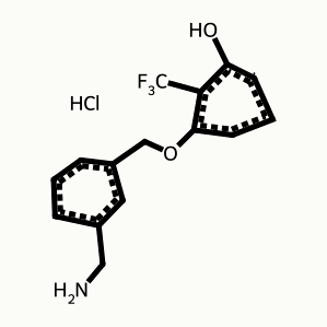 Cl.NCc1cccc(COc2cc[c]c(O)c2C(F)(F)F)c1